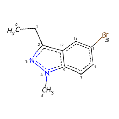 CCc1nn(C)c2ccc(Br)cc12